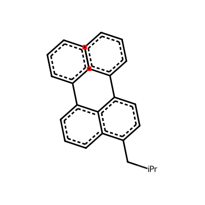 CC(C)Cc1ccc(-c2ccccc2)c2c(-c3ccccc3)cccc12